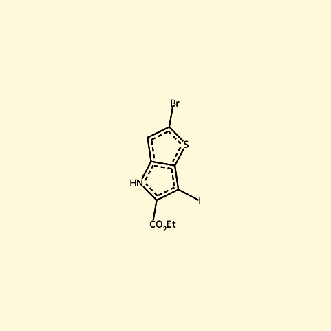 CCOC(=O)c1[nH]c2cc(Br)sc2c1I